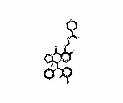 O=C(OCOc1c2n(ncc1=O)[C@@H]([C@H](c1ccccc1)c1cccc(F)c1F)[C@H]1CCCN1C2=O)N1CCOCC1